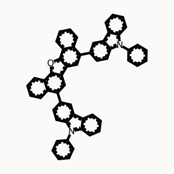 c1ccc(-n2c3ccccc3c3cc(-c4cc5c6cc(-c7ccc8c(c7)c7ccccc7n8-c7ccccc7)c7ccccc7c6oc5c5ccccc45)ccc32)cc1